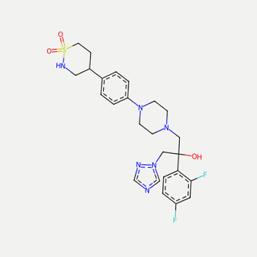 O=S1(=O)CCC(c2ccc(N3CCN(CC(O)(Cn4cncn4)c4ccc(F)cc4F)CC3)cc2)CN1